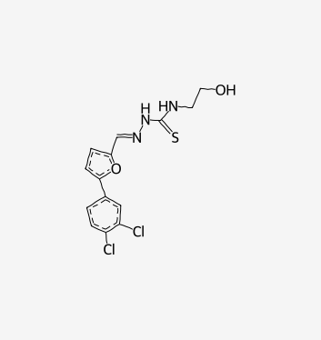 OCCNC(=S)NN=Cc1ccc(-c2ccc(Cl)c(Cl)c2)o1